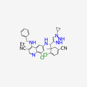 CC[C@@H](Nc1c(C#N)cnc2c(Cl)cc(N[C@H](C3=CN(C4CC4)NN3)C3(C)CC(C#N)=CC=C3Cl)cc12)c1ccccc1